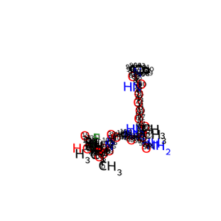 CCCC1O[C@@H]2C[C@H]3[C@@H]4C[C@H](F)C5=CC(=O)C=C[C@]5(C)[C@@]4(F)[C@@H](O)C[C@]3(C)[C@]2(C(=O)COC(=O)N2CCN(C(=O)OCc3ccc(NC(=O)[C@H](CCCNC(N)=O)NC(=O)[C@@H](NC(=O)CCOCCOCCOCCOCCNC(=O)CCC(=O)N4Cc5ccccc5C#Cc5ccccc54)C(C)C)cc3)CC2)O1